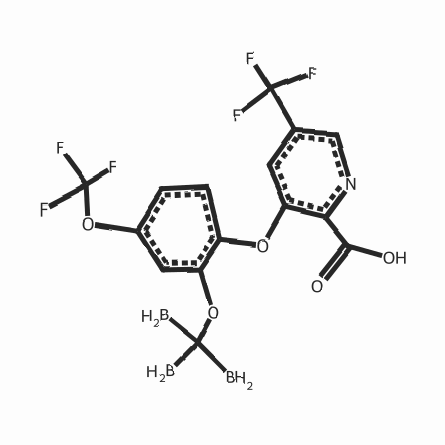 BC(B)(B)Oc1cc(OC(F)(F)F)ccc1Oc1cc(C(F)(F)F)cnc1C(=O)O